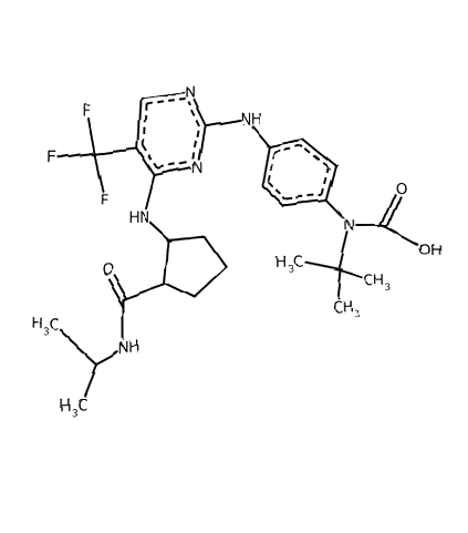 CC(C)NC(=O)C1CCCC1Nc1nc(Nc2ccc(N(C(=O)O)C(C)(C)C)cc2)ncc1C(F)(F)F